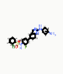 NC12CCC(Nc3ncc4cc(-c5ccc(NS(=O)(=O)c6ccccc6Cl)c(F)c5)ccc4n3)(CC1)CC2